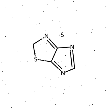 C1=NC2=NCSC2=N1.[S]